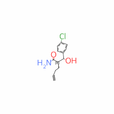 C#CCC[C@@H](C(N)=O)C(O)c1ccc(Cl)cc1